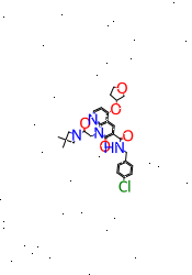 CC1(C)CN(C(=O)Cn2c(=O)c(C(=O)NCc3ccc(Cl)cc3)cc3c(OC4CCOC4)ccnc32)C1